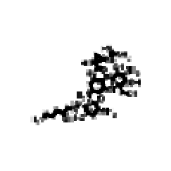 N=C(N)NC1CC1(O)C(=O)N[C@@H]1C[C@H](N)[C@@H](O[C@H]2O[C@H](CNCC(O)CCCN)[C@@H](O)C[C@H]2N)[C@H](O)[C@H]1O[C@H]1O[C@H](CO)[C@@H](O)[C@H](N)[C@H]1O